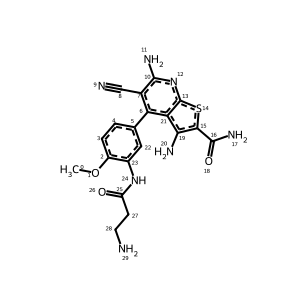 COc1ccc(-c2c(C#N)c(N)nc3sc(C(N)=O)c(N)c23)cc1NC(=O)CCN